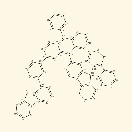 C1=CC2=C(CC1)c1ccc(-c3c4ccccc4c(-c4ccccc4)c4ccc(-c5cccc(-c6cccc7c6oc6ccccc67)c5)cc34)cc1C2(c1ccccc1)c1ccccc1